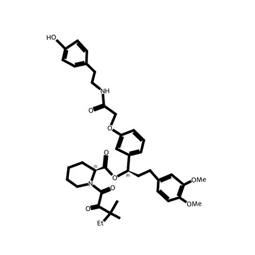 CCC(C)(C)C(=O)C(=O)N1CCCC[C@H]1C(=O)O[C@H](CCc1ccc(OC)c(OC)c1)c1cccc(OCC(=O)NCCc2ccc(O)cc2)c1